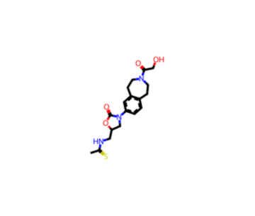 CC(=S)NCC1CN(c2ccc3c(c2)CCN(C(=O)CO)CC3)C(=O)O1